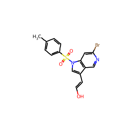 Cc1ccc(S(=O)(=O)n2cc(/C=C/O)c3cnc(Br)cc32)cc1